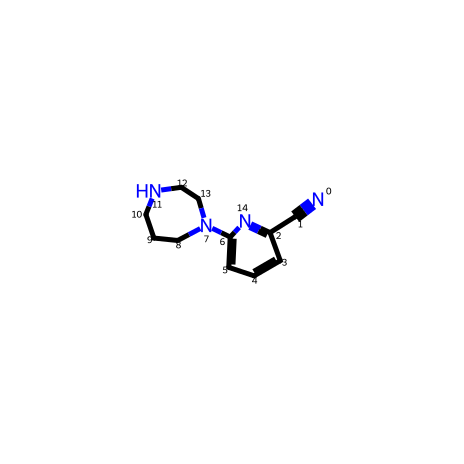 N#Cc1cccc(N2CCCNCC2)n1